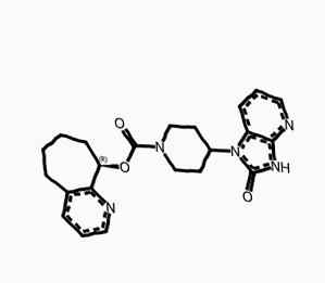 O=C(O[C@@H]1CCCCc2cccnc21)N1CCC(n2c(=O)[nH]c3ncccc32)CC1